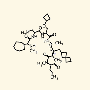 CCCC(C=O)N(C)C(=O)/C(C)=C(/CC1CC2(CCC2)C1)O[C@@H](C)NC(=O)C(COC1CCC1)NC(=O)C(CN)NC(=O)C(NC)C1CCCCCC1